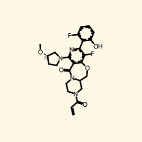 C=CC(=O)N1CCN2C(=O)c3c(N4CC[C@H](OC)C4)nc(-c4c(O)cccc4F)c(F)c3OCC2C1